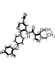 CCn1ncc(C(=O)Nc2cc(C#N)cnc2N2CCC(Oc3ccc(F)cc3F)CC2)c1OC